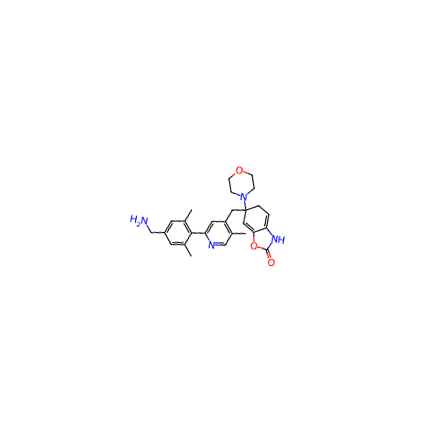 Cc1cnc(-c2c(C)cc(CN)cc2C)cc1CC1(N2CCOCC2)C=c2oc(=O)[nH]c2=CC1